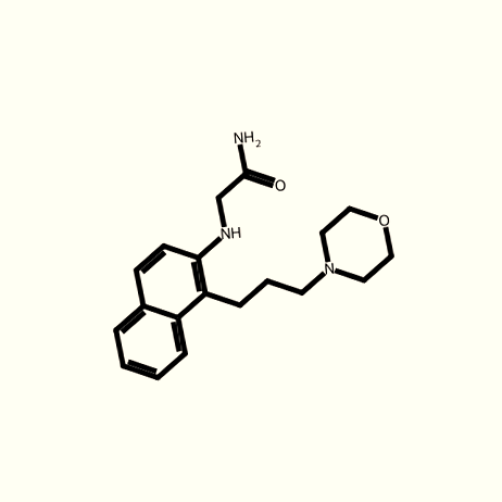 NC(=O)CNc1ccc2ccccc2c1CCCN1CCOCC1